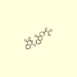 CCC(CC)C(=O)N1CCN(C(=O)c2cc(Oc3n[nH]c(=O)c4ccccc34)ccc2F)CC1